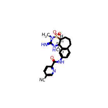 CN1C(=N)N[C@]2(C)c3cc(NC(=O)c4ccc(C#N)cn4)ccc3CCC[C@@H]2S1(=O)=O